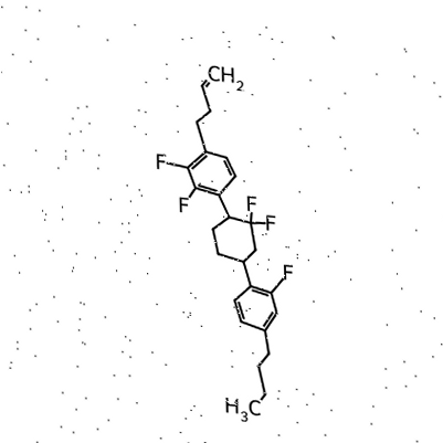 C=CCCc1ccc(C2CCC(c3ccc(CCCC)cc3F)CC2(F)F)c(F)c1F